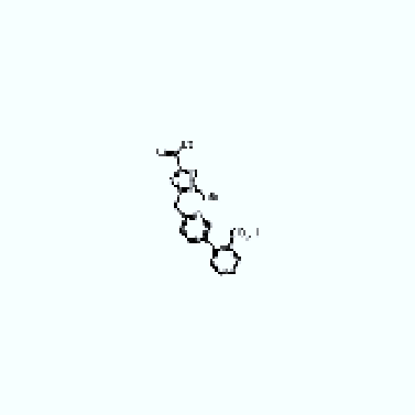 CCCCn1nc(C(=O)CC)nc1Cc1ccc(-c2ccccc2C(=O)O)cn1